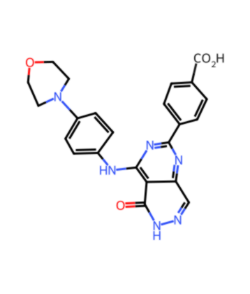 O=C(O)c1ccc(-c2nc(Nc3ccc(N4CCOCC4)cc3)c3c(=O)[nH]ncc3n2)cc1